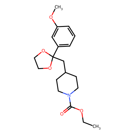 CCOC(=O)N1CCC(CC2(c3cccc(OC)c3)OCCO2)CC1